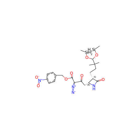 C[SiH2]OC(O[SiH2]C)C(C)(C)CC[C@@H]1C(=O)N[C@@H]1CC(=O)C(=[N+]=[N-])C(=O)OCc1ccc([N+](=O)[O-])cc1